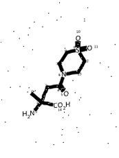 CC(N)(CC(=O)N1CCS(=O)(=O)CC1)C(=O)O